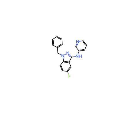 Fc1ccc2c(c1)c(Nc1cccnc1)nn2Cc1ccccc1